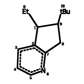 CCC1c2cccnc2CC1C(C)(C)C